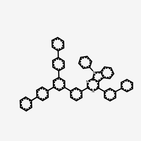 c1ccc(-c2ccc(-c3cc(-c4ccc(-c5ccccc5)cc4)cc(-c4cccc(-c5nc(-c6cccc(-c7ccccc7)c6)c6c7ccccc7n(-c7ccccc7)c6n5)c4)c3)cc2)cc1